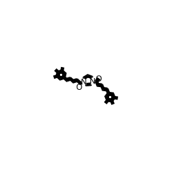 Cc1cc(/C=C/C=C/C(=O)N2CCCN(C(=O)/C=C/C=C/c3cc(C)c(C)c(C)c3)CC2)cc(C)c1C